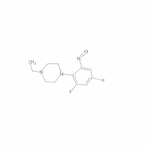 CCN1CCN(c2c(F)cc(F)cc2N=O)CC1